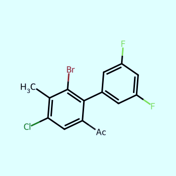 CC(=O)c1cc(Cl)c(C)c(Br)c1-c1cc(F)cc(F)c1